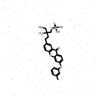 Cc1cccc(Oc2ccc3c(=O)c4cc(CCC(N)(CO)COP(=O)(O)O)ccc4oc3c2)c1